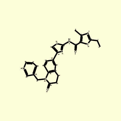 CCc1nc(C)c(C(=O)Nc2nc(-c3ccc4c(c3)CCC(=O)N4Cc3cccnc3)cs2)s1